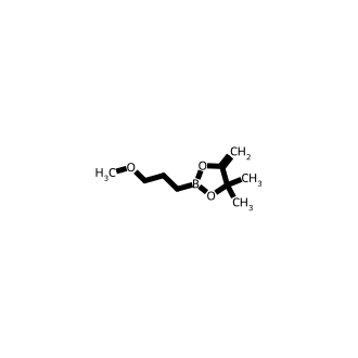 C=C1OB(CCCOC)OC1(C)C